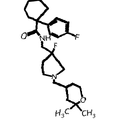 CC1(C)CC(CN2CCC(F)(CNC(=O)C3(c4ccc(F)cc4)CCCCC3)CC2)CCO1